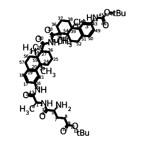 C[C@H](NC(=O)[C@@H](N)CCC(=O)OC(C)(C)C)C(=O)Nc1ccc2c(c1)[C@@]1(C)CCC[C@](C)(C(=O)NC(=O)[C@@]3(C)CCC[C@]4(C)c5cc(NC(=O)OC(C)(C)C)ccc5CC[C@@H]34)[C@@H]1CC2